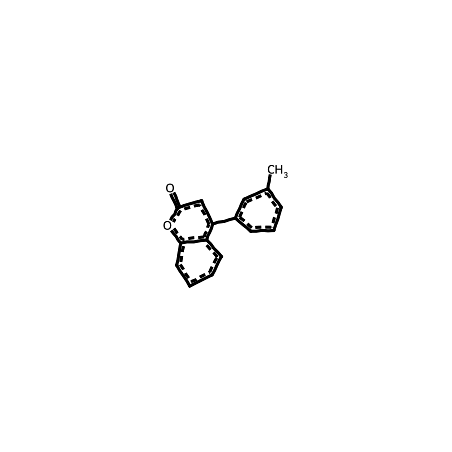 Cc1cccc(-c2cc(=O)oc3ccccc23)c1